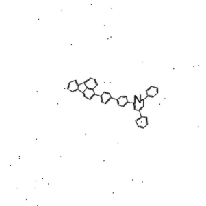 c1ccc(-c2cc(-c3ccccc3)nc(-c3ccc(-c4ccc(-c5ccc6c7c(cccc57)-c5ccccc5-6)cc4)cc3)c2)cc1